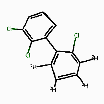 [2H]c1c([2H])c([2H])c(-c2cccc(Cl)c2Cl)c(Cl)c1[2H]